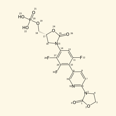 O=C1OCCN1c1ccc(-c2c(F)cc(N3C[C@H](COP(=O)(O)O)OC3=O)c(F)c2F)cn1